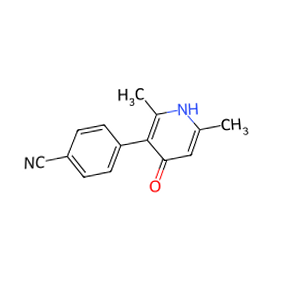 Cc1cc(=O)c(-c2ccc(C#N)cc2)c(C)[nH]1